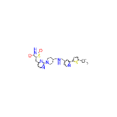 O=C1NC(=O)C(=Cc2ccnc(N3CCC(CNCc4ccnc(-c5ccc(C(F)(F)F)s5)c4)CC3)n2)S1